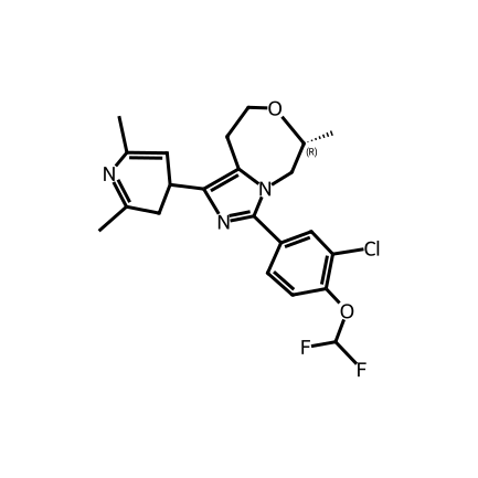 CC1=CC(c2nc(-c3ccc(OC(F)F)c(Cl)c3)n3c2CCO[C@H](C)C3)CC(C)=N1